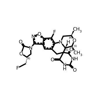 C[C@@H]1CN2c3c(cc4c(N5C[C@H](CF)OC5=O)noc4c3F)CC3(C(=O)NC(=O)NC3=O)[C@H]2[C@H](C)O1